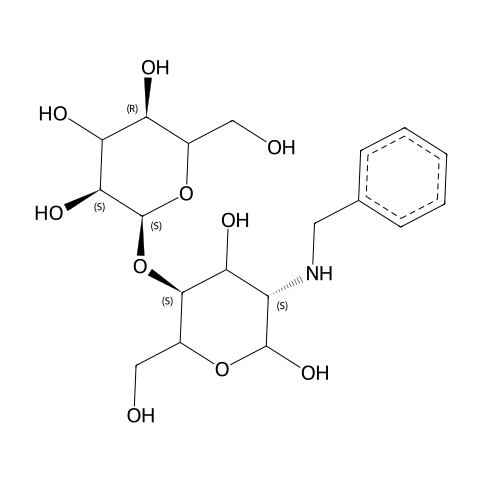 OCC1O[C@@H](O[C@@H]2C(CO)OC(O)[C@@H](NCc3ccccc3)C2O)[C@@H](O)C(O)[C@H]1O